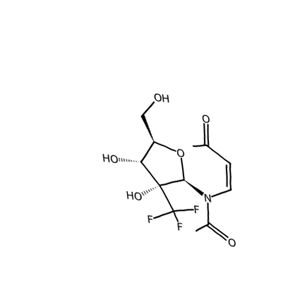 CC(=O)/C=C\N(C(C)=O)[C@@H]1O[C@H](CO)[C@@H](O)[C@]1(O)C(F)(F)F